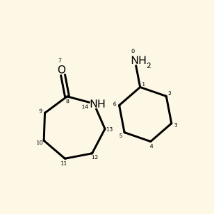 NC1CCCCC1.O=C1CCCCCN1